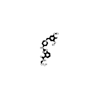 CCOc1cc(CN2CCC(Nc3nc4c(C(=O)NCC(=O)O)cccc4o3)CC2)cc(OCC)c1F